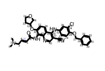 CN(C)C/C=C/C(=O)Nc1c(OC2CCOC2)ccc2c(Nc3ccc(OCc4ccccc4)c(Cl)c3)c(C#N)cnc12